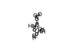 C[C@@H](NC(=O)c1cc(C2CCN(C(=O)C3COC3)CC2)cs1)c1ccc(-c2cc(C(F)(F)F)ccc2CNC(=O)OC(C)(C)C)cc1